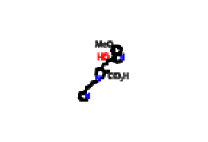 COc1ccc2nccc(C(O)CC[C@@H]3CCN(CCCCc4ccccn4)C[C@@H]3CC(=O)O)c2c1